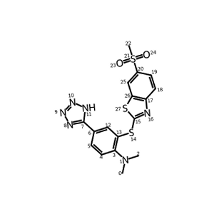 CN(C)c1ccc(-c2nnn[nH]2)cc1Sc1nc2ccc(S(C)(=O)=O)cc2s1